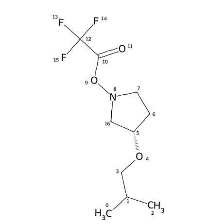 CC(C)CO[C@H]1CCN(OC(=O)C(F)(F)F)C1